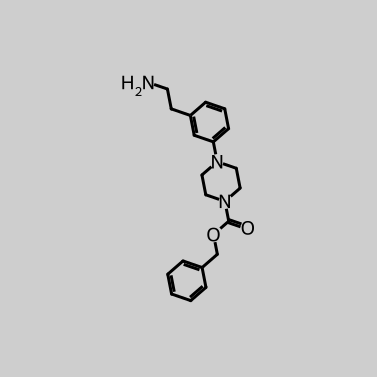 NCCc1cccc(N2CCN(C(=O)OCc3ccccc3)CC2)c1